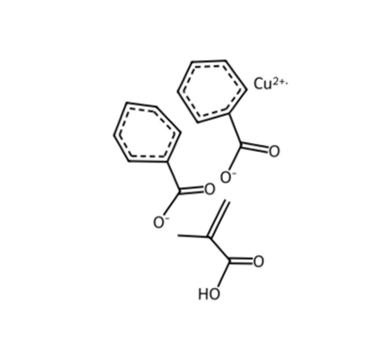 C=C(C)C(=O)O.O=C([O-])c1ccccc1.O=C([O-])c1ccccc1.[Cu+2]